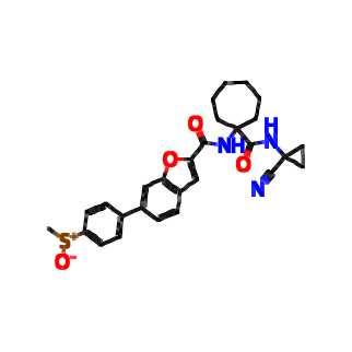 C[S+]([O-])c1ccc(-c2ccc3cc(C(=O)NC4(C(=O)NC5(C#N)CC5)CCCCCC4)oc3c2)cc1